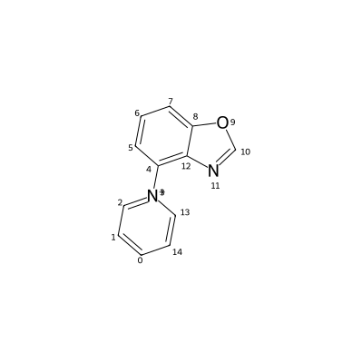 c1cc[n+](-c2cccc3ocnc23)cc1